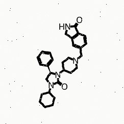 O=C1NCc2cc(CN3CCC(N4C(=O)N(C5CCCCC5)C[C@H]4c4ccccc4)CC3)ccc21